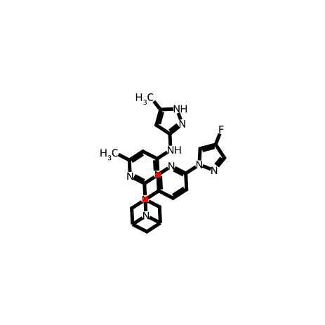 Cc1cc(Nc2cc(C)[nH]n2)nc(N2CC3CC(C2)N3Cc2ccc(-n3cc(F)cn3)nc2)n1